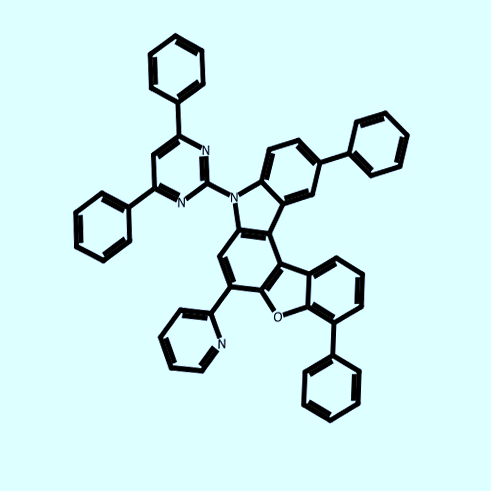 c1ccc(-c2ccc3c(c2)c2c4c(oc5c(-c6ccccc6)cccc54)c(-c4ccccn4)cc2n3-c2nc(-c3ccccc3)cc(-c3ccccc3)n2)cc1